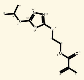 C=C(C)C(=O)OCCSc1nnc(SC(C)C)s1